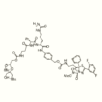 CON(C)C(=O)N1N=C(c2cc(F)ccc2F)S[C@@]1(CCCNC(=O)OCc1ccc(NC(=O)[C@H](CCCNC(N)=O)NC(=O)[C@@H](NC(=O)CCNC(=O)OCC(OC(CO)CC(C)(C)C)OC(C)(C)C)C(C)C)cc1)c1ccccc1